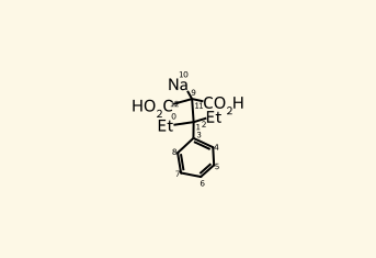 CCC(CC)(c1ccccc1)[C]([Na])(C(=O)O)C(=O)O